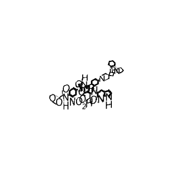 CC(C)c1ccccc1[C@@H]1CCCN1C1CC2(CCN(c3ccc(C(=O)NS(=O)(=O)c4cc5c(c([N+](=O)[O-])c4)N[C@@H]([C@H]4COCCO4)CO5)c(N4c5cc6cc[nH]c6nc5O[C@@H]5COCC[C@H]54)c3)CC2)C1